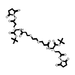 CC(C)(C)OC(=O)[C@H](CCC(=O)ON1C(=O)CCC1=O)NC(=O)CCOCCOCCC(=O)N[C@@H](CCC(=O)ON1C(=O)CCC1=O)C(=O)OC(C)(C)C